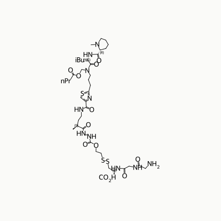 CCCC(=O)OCN(CCCc1nc(C(=O)NCC[C@H](C)C(=O)NNC(=O)OCCSSC[C@@H](NC(=O)CNC(=O)CN)C(=O)O)cs1)C(=O)[C@@H](NC(=O)[C@H]1CCCCN1C)[C@@H](C)CC